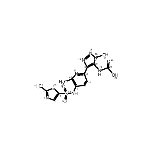 Cc1ncc(S(=O)(=O)Nc2ccc(-c3nnn(C)c3NC(=O)O)nc2C)s1